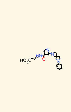 O=C(O)CCCCNC(=O)c1ccnc(N2CCC3(CCN(c4ccccc4)C3)C2)c1